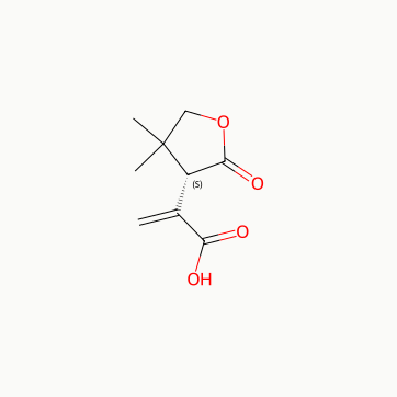 C=C(C(=O)O)[C@H]1C(=O)OCC1(C)C